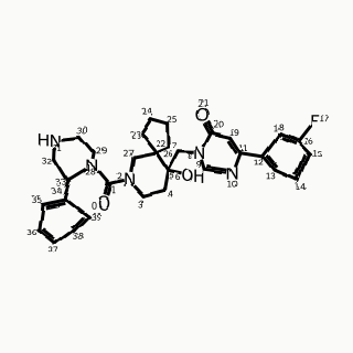 O=C(N1CCC(O)(Cn2cnc(-c3cccc(F)c3)cc2=O)C2(CCCC2)C1)N1CCNCC1c1ccccc1